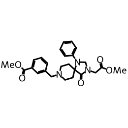 COC(=O)CN1CN(c2ccccc2)C2(CCN(Cc3cccc(C(=O)OC)c3)CC2)C1=O